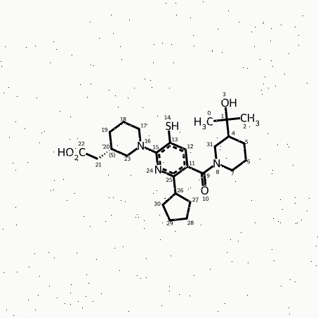 CC(C)(O)C1CCCN(C(=O)c2cc(S)c(N3CCC[C@@H](CC(=O)O)C3)nc2C2CCCC2)C1